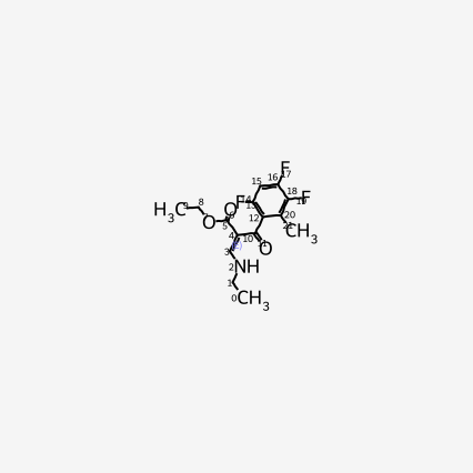 CCN/C=C(/C(=O)OCC)C(=O)c1c(F)cc(F)c(F)c1C